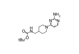 CC(C)(C)OC(=O)NCC1CCN(c2ccnc(N)n2)CC1